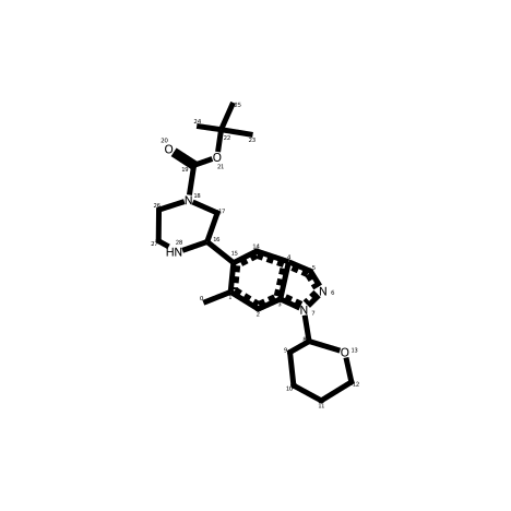 Cc1cc2c(cnn2C2CCCCO2)cc1C1CN(C(=O)OC(C)(C)C)CCN1